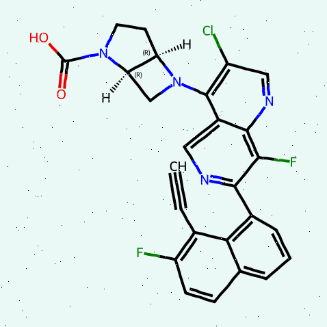 C#Cc1c(F)ccc2cccc(-c3ncc4c(N5C[C@@H]6[C@H]5CCN6C(=O)O)c(Cl)cnc4c3F)c12